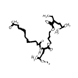 CCC(CC(C)C)C(=O)OCCCCOC(=O)C(CC(C)C)NC(=O)CCCCCCCCC(C)=O